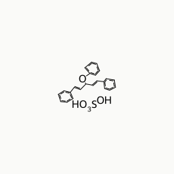 C(=CC(C=Cc1ccccc1)Oc1ccccc1)c1ccccc1.O=S(=O)(O)O